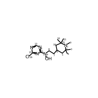 CN1C(C)(C)CC(CCN(O)c2ncnc(Cl)n2)CC1(C)C